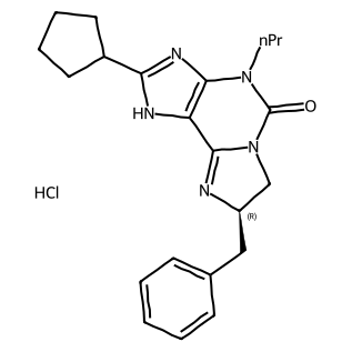 CCCN1C(=O)N2C[C@@H](Cc3ccccc3)N=C2c2[nH]c(C3CCCC3)nc21.Cl